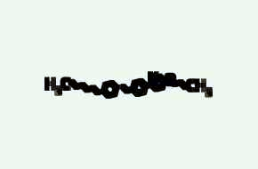 CCCCCCC[C@H]1CC[C@H](CCc2ccc(-c3ccc(OCCCC)cn3)cc2)CC1